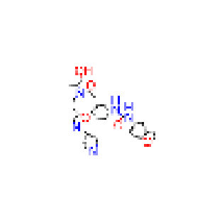 CC(CO)N1C[C@@H](C)[C@H](CN(C)Cc2ccncc2)Oc2ccc(NC(=O)Nc3ccc4occc4c3)cc2CC1=O